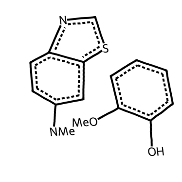 CNc1ccc2ncsc2c1.COc1ccccc1O